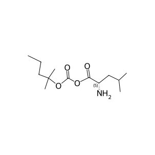 CCCC(C)(C)OC(=O)OC(=O)[C@@H](N)CC(C)C